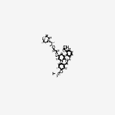 COc1cccc(CN(Cc2cccc(OC)c2)c2ccc(OCCOCCN3CCOCC3)cn2)c1